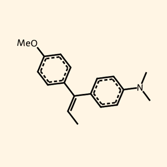 CC=C(c1ccc(OC)cc1)c1ccc(N(C)C)cc1